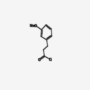 COc1cccc(CCC(=O)Cl)c1